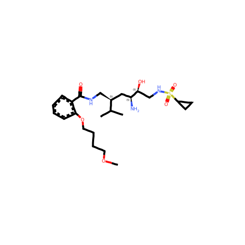 COCCCCOc1ccccc1C(=O)NC[C@@H](C[C@H](N)[C@@H](O)CNS(=O)(=O)C1CC1)C(C)C